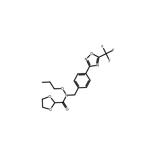 CCCON(Cc1ccc(-c2noc(C(F)(F)F)n2)cc1)C(=O)C1OCCO1